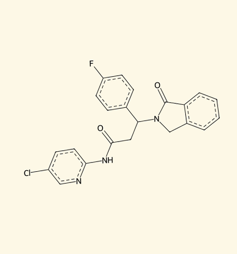 O=C(CC(c1ccc(F)cc1)N1Cc2ccccc2C1=O)Nc1ccc(Cl)cn1